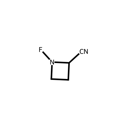 N#CC1CCN1F